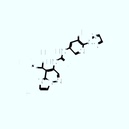 COC(C)c1c(NC(=O)Nc2cnc(-n3nccn3)c(Cl)c2)cnn2cc(C)nc12